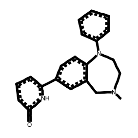 CN1CCN(c2ccccc2)c2ccc(-c3cccc(=O)[nH]3)cc2C1